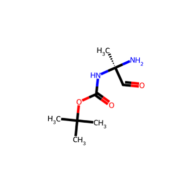 CC(C)(C)OC(=O)N[C@@](C)(N)C=O